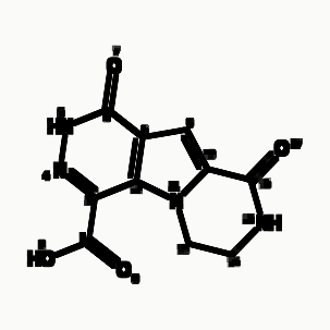 O=C(O)c1n[nH]c(=O)c2cc3n(c12)CCNC3=O